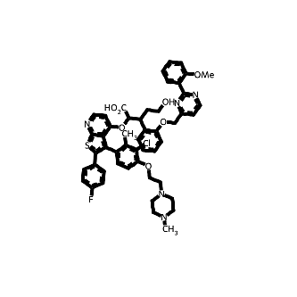 COc1ccccc1-c1nccc(COc2ccccc2C(CCO)C(Oc2ccnc3sc(-c4ccc(F)cc4)c(-c4ccc(OCCN5CCN(C)CC5)c(Cl)c4C)c23)C(=O)O)n1